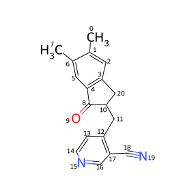 Cc1cc2c(cc1C)C(=O)C(Cc1ccncc1C#N)C2